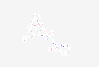 N[C@@H](CO)[C@H](O)/C=C/CNC(=O)c1ccc(C2C3=C(CC(=O)C=C3)OC3=C2C=CC(O)C3)c(O)c1